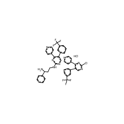 Cl.FC(F)(F)c1cccc(-c2cnc(Cl)nc2-c2ccncc2)c1.NC(CCNc1ncc(-c2cccc(C(F)(F)F)c2)c(-c2ccncc2)n1)c1ccccc1